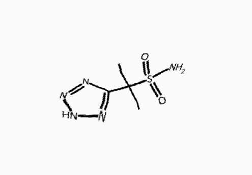 CC(C)(c1nn[nH]n1)S(N)(=O)=O